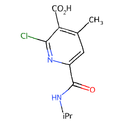 Cc1cc(C(=O)NC(C)C)nc(Cl)c1C(=O)O